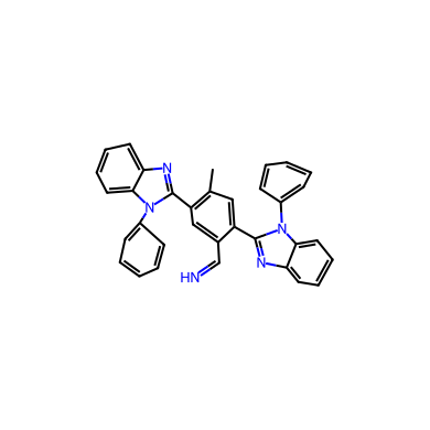 Cc1cc(-c2nc3ccccc3n2-c2ccccc2)c(C=N)cc1-c1nc2ccccc2n1-c1ccccc1